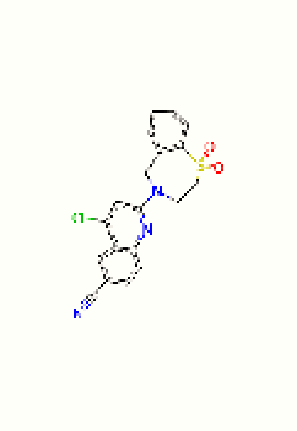 N#Cc1ccc2nc(N3CCS(=O)(=O)c4ccccc4C3)cc(Cl)c2c1